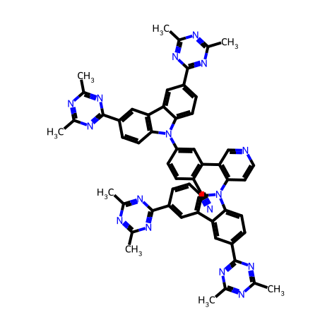 Cc1nc(C)nc(-c2ccc3c(c2)c2cc(-c4nc(C)nc(C)n4)ccc2n3-c2ccc(C#N)c(-c3cnccc3-n3c4ccc(-c5nc(C)nc(C)n5)cc4c4cc(-c5nc(C)nc(C)n5)ccc43)c2)n1